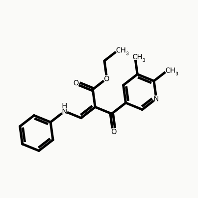 CCOC(=O)/C(=C\Nc1ccccc1)C(=O)c1cnc(C)c(C)c1